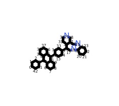 c1ccc(-c2c3ccccc3c(-c3ccc(-c4cn5c6ccccc6nc5c5cnccc45)cc3)c3ccccc23)cc1